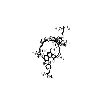 C/C1=C/C=C/[C@H](C)[C@H](O)CC(O)[C@@H](C)[C@H](OC(C)(O)C(C)C(=O)OCCN(C)C)[C@H](C)C/C=C/OC2(C)Oc3c(C)c(O)c4c(c3C2=O)C2=NC3(CCN(CC(C)C)CC3)NC2=C(NC1=O)C4=O